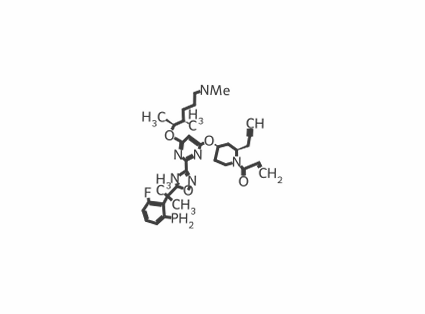 C#CC[C@@H]1C[C@@H](Oc2cc(O[C@@H](C)[C@@H](C)CCCNC)nc(-c3noc(C(C)(C)c4c(F)cccc4P)n3)n2)CCN1C(=O)C=C